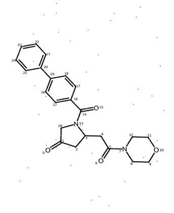 O=C1CC(CC(=O)N2CCOCC2)N(C(=O)c2ccc(-c3ccccc3)cc2)C1